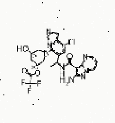 CC(NC(=O)c1c(N)nn2cccnc12)c1cc(Cl)c2cncn2c1N1C[C@H](O)C[C@@H](OC(=O)C(F)(F)F)C1